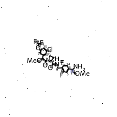 CO/N=C(\N)c1cc(F)c(CNC(=O)[C@@H]2CCN2C(=O)[C@H](OC)c2cc(Cl)cc(OC(F)F)c2)c(F)c1